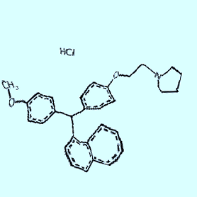 COc1ccc(C(c2ccc(OCCN3CCCC3)cc2)c2cccc3ccccc23)cc1.Cl